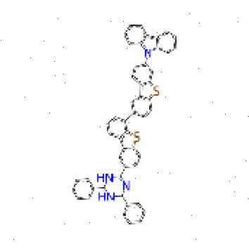 c1ccc(C2N=C(c3ccc4sc5c(-c6ccc7sc8cc(-n9c%10ccccc%10c%10ccccc%109)ccc8c7c6)cccc5c4c3)NC(c3ccccc3)N2)cc1